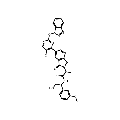 COc1cccc([C@@H](CO)NC(=O)C(C)N2Cc3ncc(-c4nc(On5nnc6ccccc65)ncc4Cl)cc3C2=O)c1